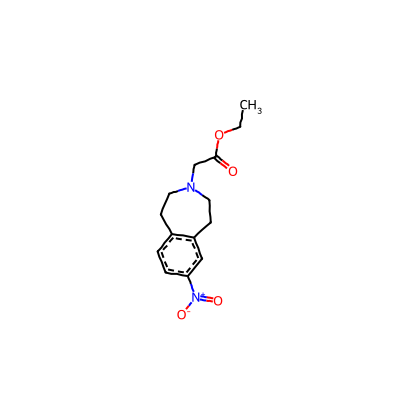 CCOC(=O)CN1CCc2ccc([N+](=O)[O-])cc2CC1